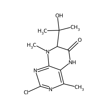 Cc1nc(Cl)nc2c1NC(=O)C(C(C)(C)O)N2C